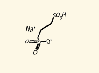 O=S(=O)([O-])CCS(=O)(=O)O.[Na+]